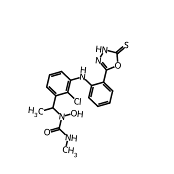 CNC(=O)N(O)C(C)c1cccc(Nc2ccccc2-c2n[nH]c(=S)o2)c1Cl